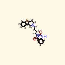 O=c1[nH]c2ccccc2c(=O)n1CCCCN1CCc2sc3ccccc3c2C1